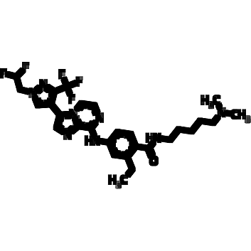 CCc1cc(Nc2nccn3c(-c4cn(CC(F)F)nc4C(F)(F)F)cnc23)ccc1C(=O)NCCCCCN(C)C